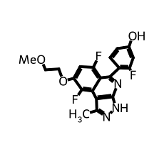 COCCOc1cc(F)c2c(-c3ccc(O)cc3F)nc3[nH]nc(C)c3c2c1F